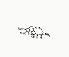 COc1cc2c(c(OC)c1OC)-c1ccc(C(CNC(=O)CN)C(=O)O)cc1[C@@H](NC(C)=O)CC2